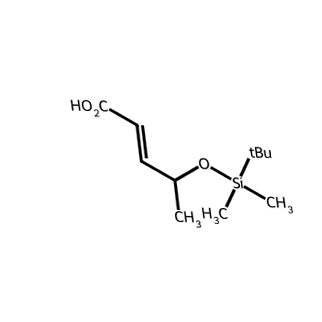 CC(C=CC(=O)O)O[Si](C)(C)C(C)(C)C